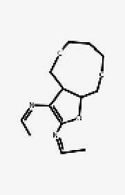 C/C=N\C1=C(/N=C\C)C2CCCCCCCC2O1